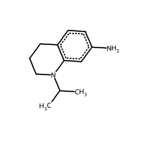 CC(C)N1CCCc2ccc(N)cc21